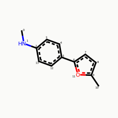 CNc1ccc(-c2ccc(C)o2)cc1